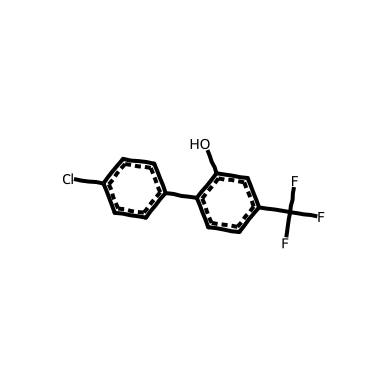 Oc1cc(C(F)(F)F)ccc1-c1ccc(Cl)cc1